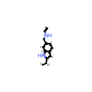 C=CNCc1ccc2cc(CC)[nH]c2c1